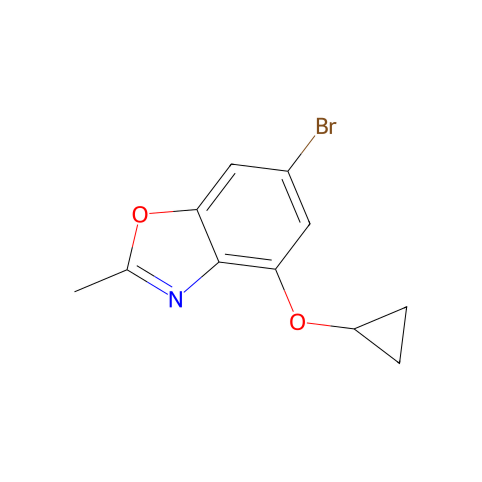 Cc1nc2c(OC3CC3)cc(Br)cc2o1